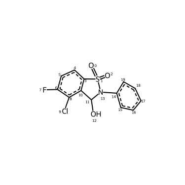 O=S1(=O)c2ccc(F)c(Cl)c2C(O)N1c1ccccc1